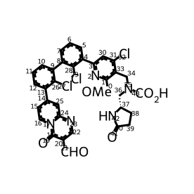 COc1nc(-c2cccc(-c3cccc(-c4ccn5c(=O)c(C=O)cnc5c4)c3Cl)c2Cl)cc(Cl)c1CN(C[C@@H]1CCC(=O)N1)C(=O)O